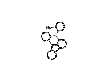 CC(C)(C)c1ccccc1N1c2ccccc2-n2c3ccccc3c3cccc1c32